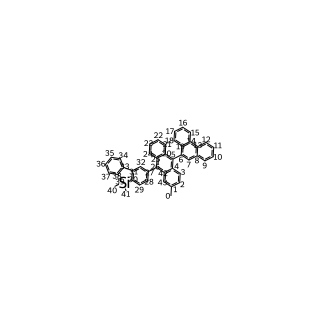 Cc1ccc2c(-c3cc4ccccc4c4ccccc34)c3ccccc3c(-c3ccc4c(c3)-c3ccccc3[Si]4(C)C)c2c1